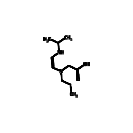 CCCN(/C=C\NC(C)C)CC(=O)O